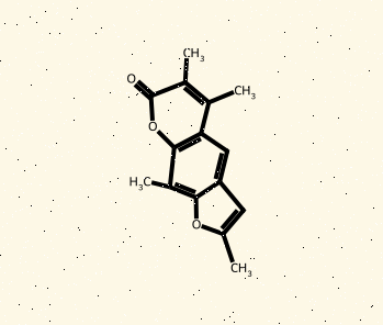 Cc1cc2cc3c(C)c(C)c(=O)oc3c(C)c2o1